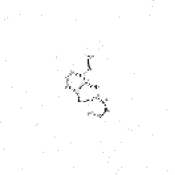 O=Cc1cccc2nc3ccccc3nc12